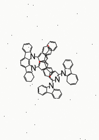 C1=CCc2c(c3ccccc3n2-c2cc(-c3cc(-c4ccccc4)cc(-n4c5c(c6ccc7c8ccccc8n(-c8cc(-c9ccccc9)cc(-c9ccccc9)c8)c7c64)C=CCC5)c3)cc(-n3c4ccccc4c4ccccc43)n2)C=C1